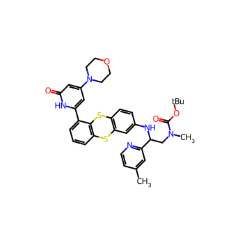 Cc1ccnc(C(CN(C)C(=O)OC(C)(C)C)Nc2ccc3c(c2)Sc2cccc(-c4cc(N5CCOCC5)cc(=O)[nH]4)c2S3)c1